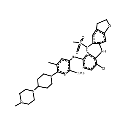 COc1nc(N2CCC(N3CCN(C)CC3)CC2)c(C)cc1Nc1ncc(Cl)c(Nc2cc3c(cc2NS(C)(=O)=O)CCO3)n1